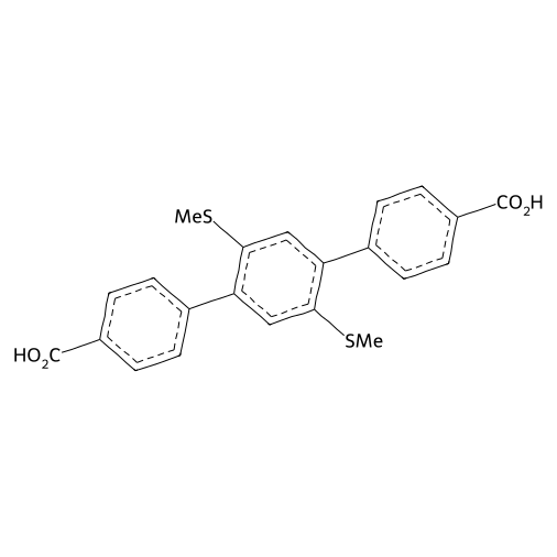 CSc1cc(-c2ccc(C(=O)O)cc2)c(SC)cc1-c1ccc(C(=O)O)cc1